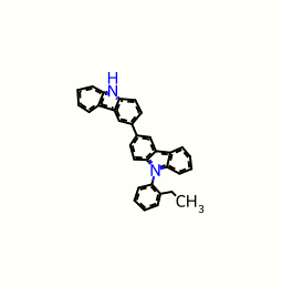 CCc1ccccc1-n1c2ccccc2c2cc(-c3ccc4[nH]c5ccccc5c4c3)ccc21